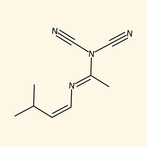 C/C(=N\C=C/C(C)C)N(C#N)C#N